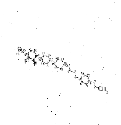 CCCc1ccc(CC/C=C/C2CC=C(c3ccc(-c4ccc(C5CO5)c(F)c4F)cc3)CC2)cc1